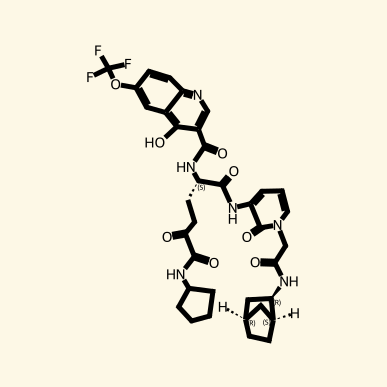 O=C(Cn1cccc(NC(=O)[C@H](CCC(=O)C(=O)NC2CCCC2)NC(=O)c2cnc3ccc(OC(F)(F)F)cc3c2O)c1=O)N[C@@H]1C[C@@H]2CC[C@H]1C2